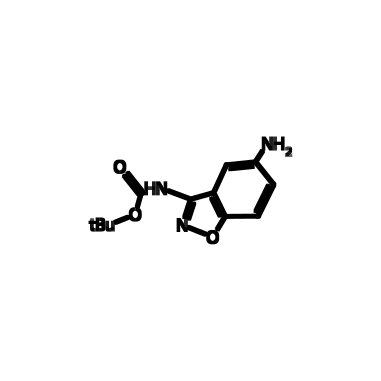 CC(C)(C)OC(=O)Nc1noc2ccc(N)cc12